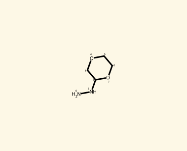 NNC1COCCO1